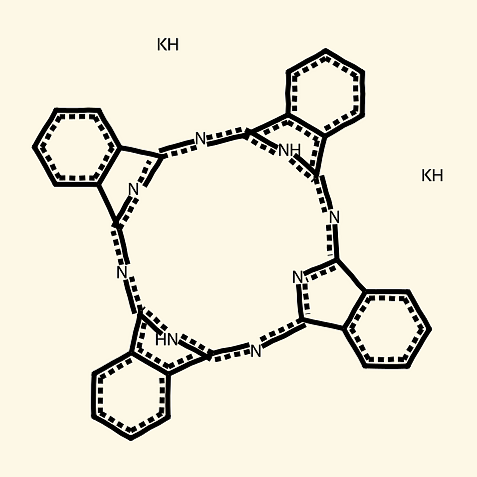 [KH].[KH].c1ccc2c(c1)-c1nc-2nc2[nH]c(nc3nc(nc4[nH]c(n1)c1ccccc41)-c1ccccc1-3)c1ccccc21